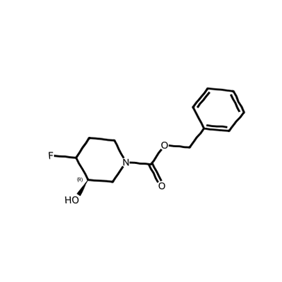 O=C(OCc1ccccc1)N1CCC(F)[C@H](O)C1